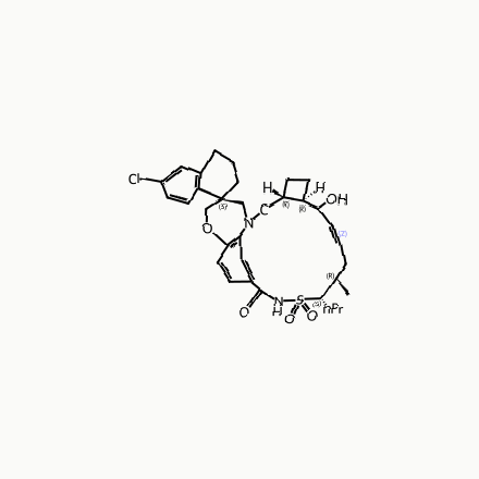 CCC[C@H]1[C@H](C)C/C=C\C(O)[C@@H]2CC[C@H]2CN2C[C@@]3(CCCc4cc(Cl)ccc43)COc3ccc(cc32)C(=O)NS1(=O)=O